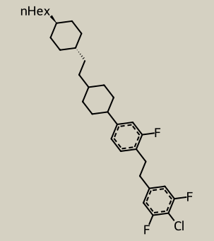 CCCCCC[C@H]1CC[C@H](CCC2CCC(c3ccc(CCc4cc(F)c(Cl)c(F)c4)c(F)c3)CC2)CC1